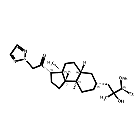 CC[C@H](OC)C(C)(O)C[C@@H]1CC[C@@H]2[C@H](CC[C@]3(C)[C@@H](C(=O)Cn4nccn4)CC[C@@H]23)C1